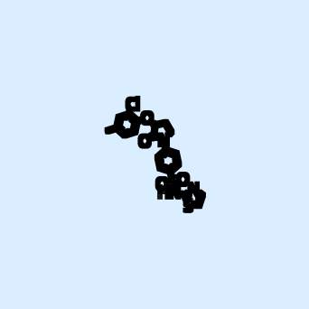 Cc1ccc(OC2CCN(c3ccc(S(=O)(=O)Nc4nccs4)cc3)C2=O)c(Cl)c1